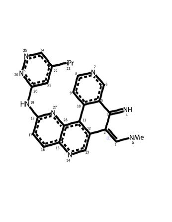 CN/C=C1\C(=N)c2cnccc2-c2c1cnc1ccc(Nc3cc(C(C)C)cnn3)nc21